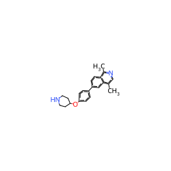 Cc1cnc(C)c2ccc(-c3ccc(OC4CCNCC4)cc3)cc12